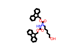 O=C(NN(CCCCCCO)C(=O)OCC1c2ccccc2-c2ccccc21)OCC1c2ccccc2-c2ccccc21